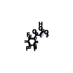 CO/C(O)=C/C(=O)c1cc(F)c(F)cc1F